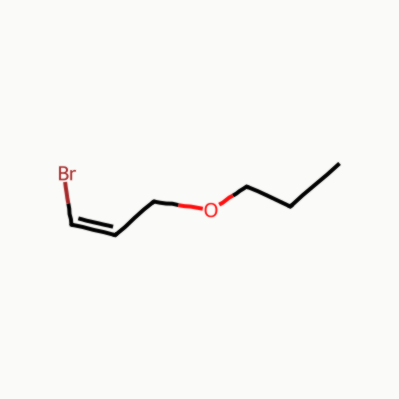 CCCOC/C=C\Br